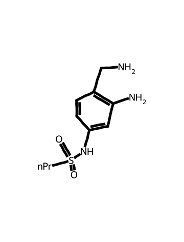 CCCS(=O)(=O)Nc1ccc(CN)c(N)c1